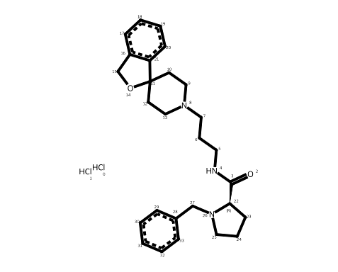 Cl.Cl.O=C(NCCCN1CCC2(CC1)OCc1ccccc12)[C@H]1CCCN1Cc1ccccc1